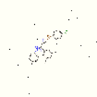 Cc1ccc(/N=C(/C=C/Sc2ccc(F)cc2)c2cc(C)cc(C)c2)cc1